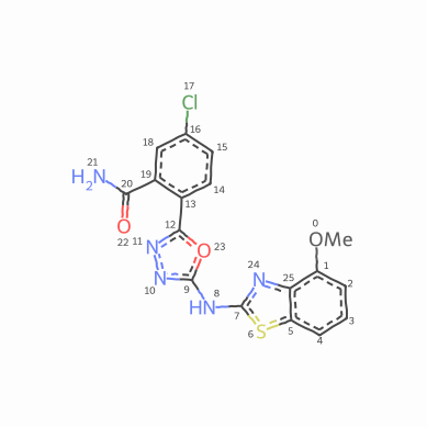 COc1cccc2sc(Nc3nnc(-c4ccc(Cl)cc4C(N)=O)o3)nc12